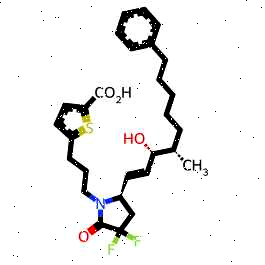 C[C@@H](CCCCCc1ccccc1)[C@@H](O)/C=C/[C@H]1CC(F)(F)C(=O)N1CCCc1ccc(C(=O)O)s1